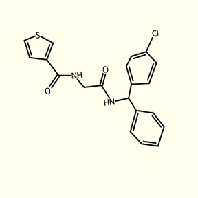 O=C(CNC(=O)c1ccsc1)NC(c1ccccc1)c1ccc(Cl)cc1